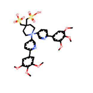 COc1cc(-c2ccc([N+]3(c4ccc(-c5cc(OC)c(OC)c(OC)c5)nc4)CCC(CS(=O)(=O)[O-])(CS(=O)(=O)O)CC3)cn2)cc(OC)c1OC